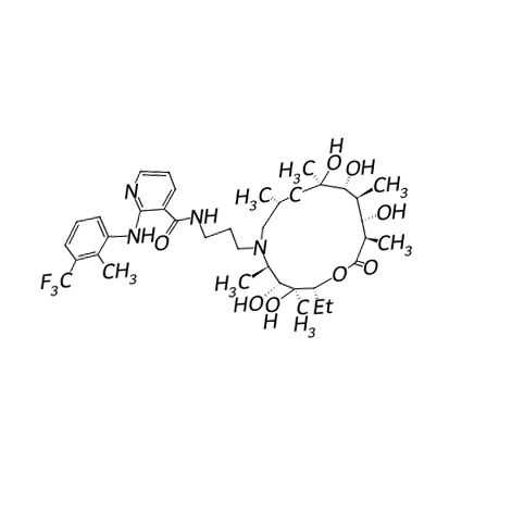 CC[C@H]1OC(=O)[C@H](C)[C@@H](O)[C@H](C)[C@@H](O)[C@](C)(O)C[C@@H](C)CN(CCCNC(=O)c2cccnc2Nc2cccc(C(F)(F)F)c2C)[C@H](C)[C@@H](O)[C@]1(C)O